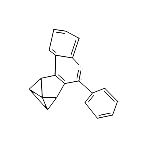 c1ccc(-c2nc3ccccc3c3c2C2C4C5C3C245)cc1